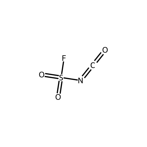 O=C=NS(=O)(=O)F